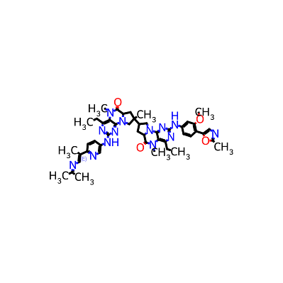 CCc1nc(Nc2ccc(-c3cnc(C)o3)c(OC)c2)nc2c1N(C)C(=O)C1CC(C3(C)CC4C(=O)N(C)c5c(CC)nc(Nc6ccc(/C(C)=C/N=C(C)C)nc6)nc5N4C3)CN21